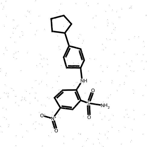 NS(=O)(=O)c1cc([N+](=O)[O-])ccc1Nc1ccc(C2CCCC2)cc1